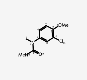 CNC(=O)N(C)c1ccc(OC)c(Cl)c1